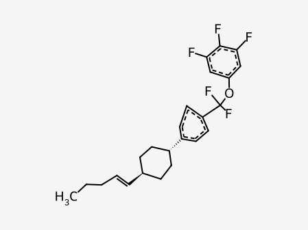 CCCC=C[C@H]1CC[C@H](c2ccc(C(F)(F)Oc3cc(F)c(F)c(F)c3)cc2)CC1